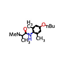 CCCCOc1cc(C)c(NC(=O)C(C)NC)c(C)c1